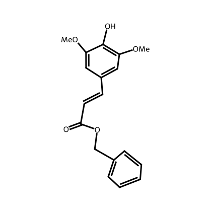 COc1cc(C=CC(=O)OCc2ccccc2)cc(OC)c1O